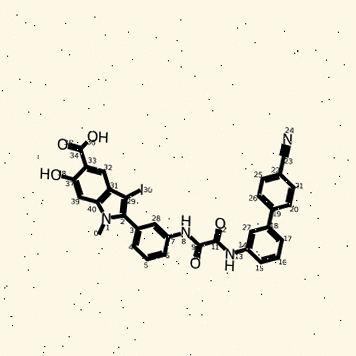 Cn1c(-c2cccc(NC(=O)C(=O)Nc3cccc(-c4ccc(C#N)cc4)c3)c2)c(I)c2cc(C(=O)O)c(O)cc21